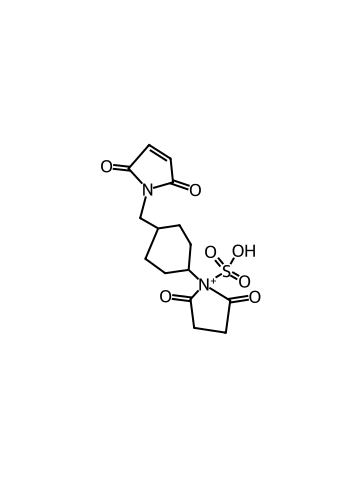 O=C1C=CC(=O)N1CC1CCC([N+]2(S(=O)(=O)O)C(=O)CCC2=O)CC1